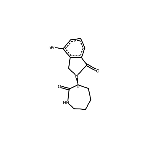 CCCc1cccc2c1CN([C@H]1CCCCNC1=O)C2=O